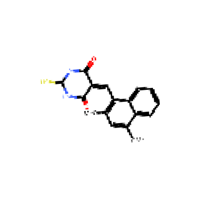 COc1cc(OC)c2ccccc2c1C=C1C(=O)NC(S)NC1=O